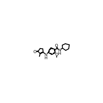 COc1cc(NC2=C(C)C(=O)CC2)ccc1C(=O)NC1CCCCC1